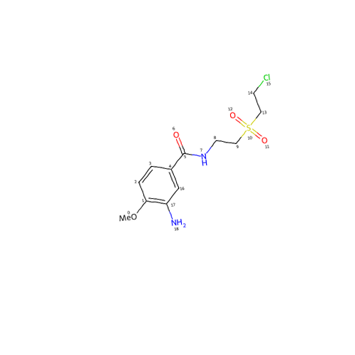 COc1ccc(C(=O)NCCS(=O)(=O)CCCl)cc1N